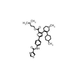 CC1CCC(C2=C(c3cc(-c4ccc(NC(=O)c5cscn5)cc4)sc3C(=O)OCCN(C)C)CCN(C)C2)CC1